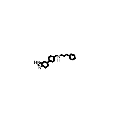 c1ccc(CCCNCc2ccc(-c3ccc4nc[nH]c4c3)cc2)cc1